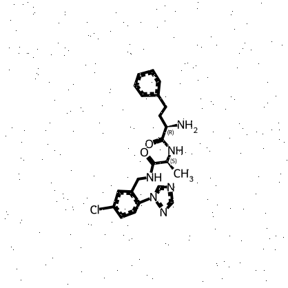 C[C@H](NC(=O)[C@H](N)CCc1ccccc1)C(=O)NCc1cc(Cl)ccc1-n1cncn1